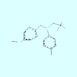 COc1ccc(CN(CC(C)(C)C)c2ccc(C)cc2)cc1